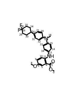 COC(=O)c1cc(OC)ccc1Nc1ccc(N(C)c2ccc(C3CCC(F)(F)CC3)cc2)cc1